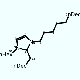 CCCCCCCCCCCCCCCN1C=CN(CCCCCC)C1CCCCCCCCCCC